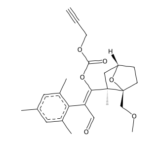 C#CCOC(=O)O/C(=C(/C=O)c1c(C)cc(C)cc1C)[C@@]1(C)C[C@@H]2CC[C@@]1(COC)O2